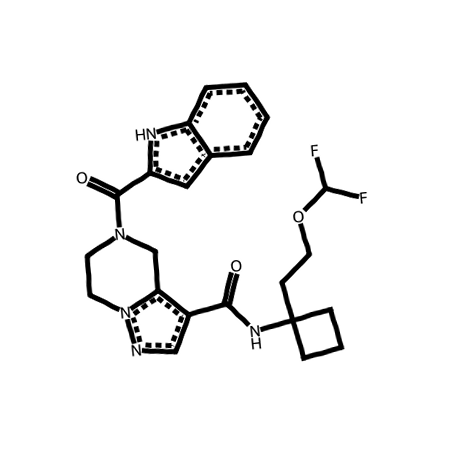 O=C(NC1(CCOC(F)F)CCC1)c1cnn2c1CN(C(=O)c1cc3ccccc3[nH]1)CC2